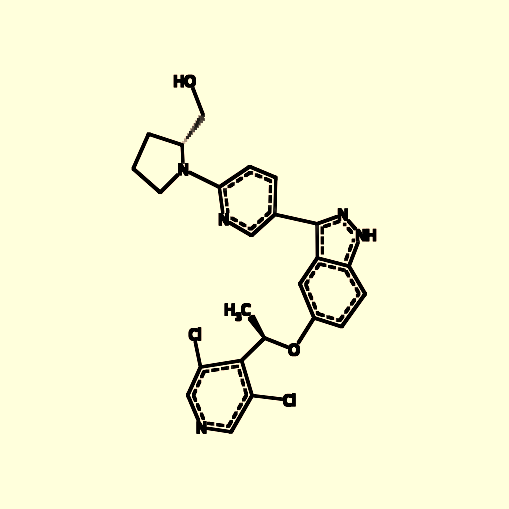 C[C@@H](Oc1ccc2[nH]nc(-c3ccc(N4CCC[C@@H]4CO)nc3)c2c1)c1c(Cl)cncc1Cl